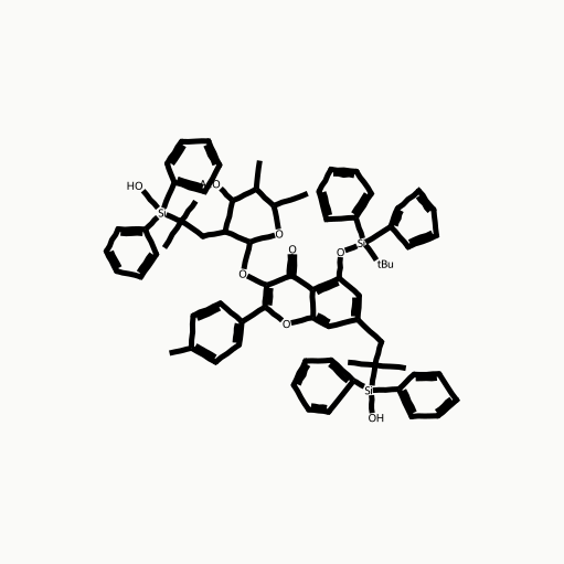 CC(=O)OC1C(C)C(C)OC(Oc2c(-c3ccc(C)cc3)oc3cc(CC(C)(C)[Si](O)(c4ccccc4)c4ccccc4)cc(O[Si](c4ccccc4)(c4ccccc4)C(C)(C)C)c3c2=O)C1CC(C)(C)[Si](O)(c1ccccc1)c1ccccc1